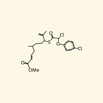 C=C(C)C(CCC(C)CC=CC(=O)OC)SC(=O)C(Cl)Oc1ccc(Cl)cc1